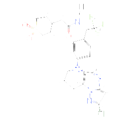 CN(C(=O)CC1CCS(=O)(=O)CC1)[C@@H](c1ccc(N2CCCc3c2cnc2cc(Cl)nn32)cc1)C(F)(F)F